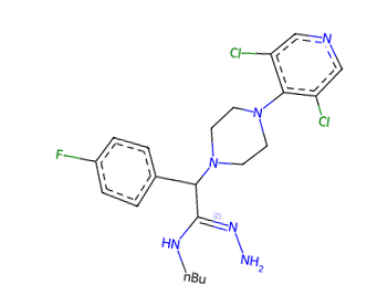 CCCCN/C(=N\N)C(c1ccc(F)cc1)N1CCN(c2c(Cl)cncc2Cl)CC1